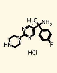 CC(N)(c1ccc(F)cc1)c1cnc(N2CCNCC2)nc1.Cl